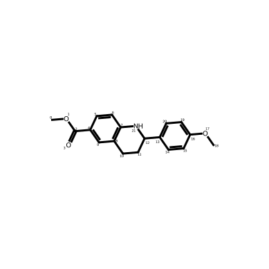 COC(=O)c1ccc2c(c1)CCC(c1ccc(OC)cc1)N2